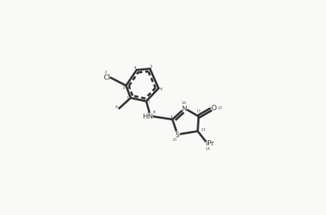 Cc1c(Cl)cccc1NC1=NC(=O)C(C(C)C)S1